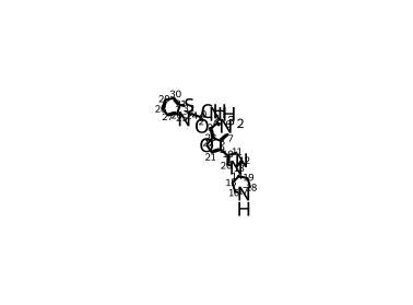 CC(Oc1c(N)ncc2c(-c3cnn(C4CCNCC4)c3)coc12)c1nc2ccccc2s1